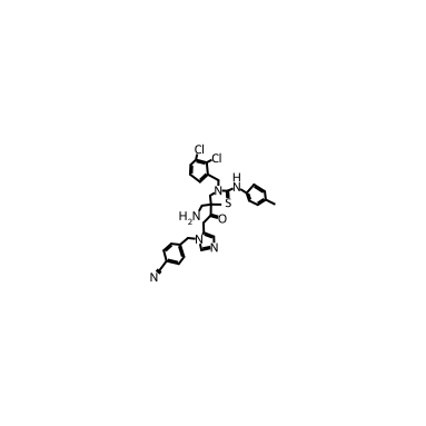 Cc1ccc(NC(=S)N(Cc2cccc(Cl)c2Cl)CC(C)(CN)C(=O)Cc2cncn2Cc2ccc(C#N)cc2)cc1